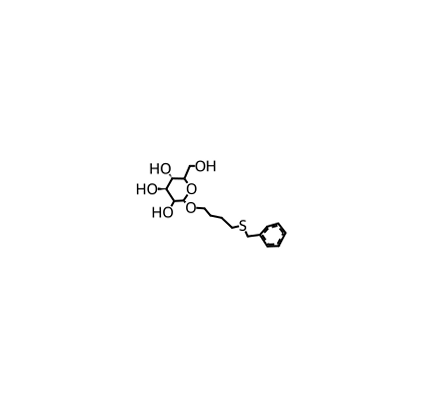 OCC1O[C@@H](OCCCCSCc2ccccc2)C(O)[C@@H](O)[C@@H]1O